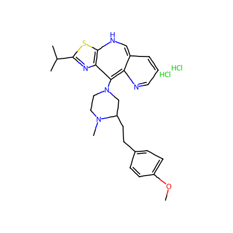 COc1ccc(CCC2CN(C3=c4ncccc4=CNc4sc(C(C)C)nc43)CCN2C)cc1.Cl.Cl